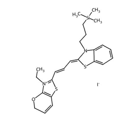 CC[n+]1c(C=CC=C2Sc3ccccc3N2CCC[Si](C)(C)C)sc2c1OCC=C2.[I-]